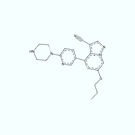 CCCOc1cc(-c2ccc(N3CCNCC3)nc2)c2c(C#N)cnn2c1